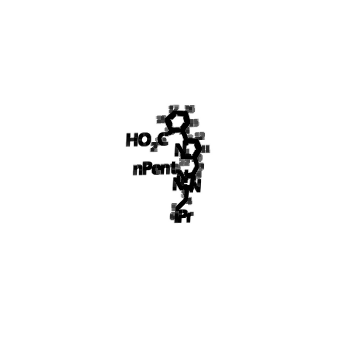 CCCCCn1nc(CCC(C)C)nc1Cc1ccc(-c2ccccc2C(=O)O)nc1